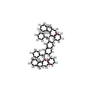 c1ccc(-c2cc3cc(-c4ccccc4)c(N(c4ccccc4)c4cccc5sc6ccccc6c45)cc3cc2N(c2ccccc2)c2cccc3sc4ccccc4c23)cc1